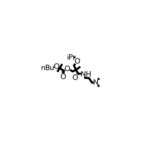 CCCCOC(C)(C)C(=O)OCC(C)(COC(C)C)C(=O)NCCCN(C)C